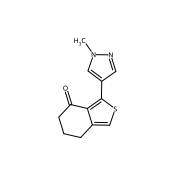 Cn1cc(-c2scc3c2C(=O)CCC3)cn1